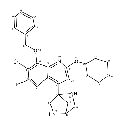 Brc1c(I)cc2c(C34CNC(CN3)C4)nc(OC3CCOCC3)nc2c1OCc1ccccc1